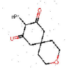 CCCC1C(=O)CC2(CCOCC2)CC1=O